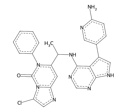 CC(Nc1ncnc2[nH]cc(-c3ccc(N)nc3)c12)c1cc2ncc(Cl)n2c(=O)n1-c1ccccc1